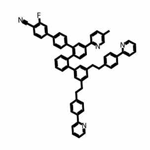 Cc1ccc(-c2ccc(-c3ccccc3-c3cc(CCc4ccc(-c5ccccn5)cc4)cc(CCc4ccc(-c5ccccn5)cc4)c3)c(-c3ccc(-c4ccc(C#N)c(F)c4)cc3)c2)nc1